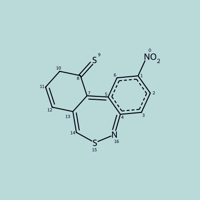 O=[N+]([O-])c1ccc2c(c1)=C1C(=S)CC=CC1=CSN=2